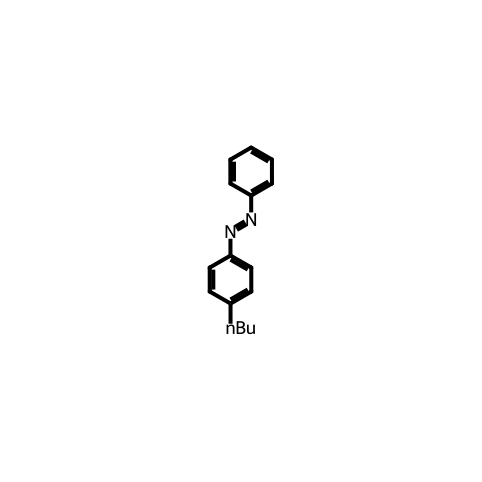 CCCCc1ccc(/N=N/c2ccccc2)cc1